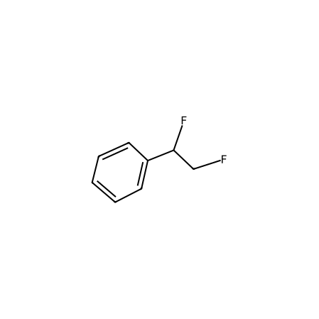 FCC(F)c1ccccc1